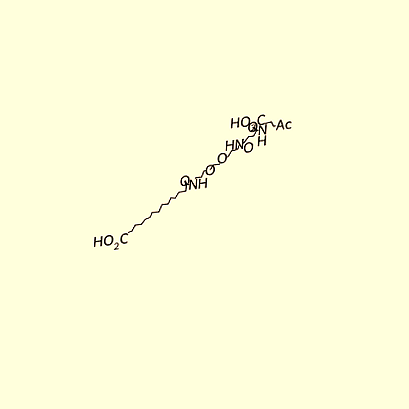 CC(=O)CC[C@H](NC(=O)CCC(=O)NCCCOCCOCCCNC(=O)CCCCCCCCCCCCCCC(=O)O)C(=O)O